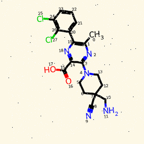 Cc1nc(N2CCC(C#N)(CN)CC2)c(C(=O)O)nc1-c1cccc(Cl)c1Cl